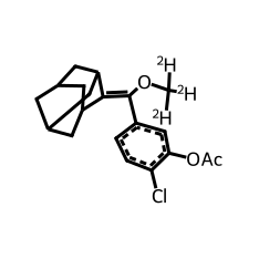 [2H]C([2H])([2H])OC(=C1C2CC3CC(C2)CC1C3)c1ccc(Cl)c(OC(C)=O)c1